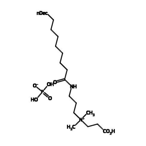 CCCCCCCCCCCCCCCCCC(=O)NCCC[N+](C)(C)CCC(=O)O.O=P([O-])(O)O